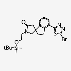 CC(C)(C)[Si](C)(C)OCCN1CC2(CCc3c(-c4nnc(Br)s4)cccc32)CC1=O